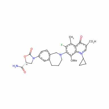 COc1c(N2CCCc3cc(N4C[C@H](C(N)=O)OC4=O)ccc3C2)c(F)c(C)c2c(=O)c(C(=O)O)cn(C3CC3)c12